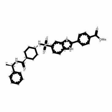 COC(=O)c1ccc(-c2nc3cc(S(=O)(=O)N[C@H]4CC[C@H](C(=O)N[C@H](C)c5ccccc5)CC4)ccc3[nH]2)cc1